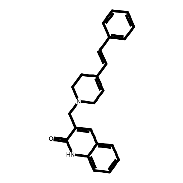 O=c1[nH]c2ccccc2cc1CN1CC=C(/C=C/c2ccccc2)CC1